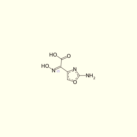 Nc1nc(/C(=N/O)C(=O)O)co1